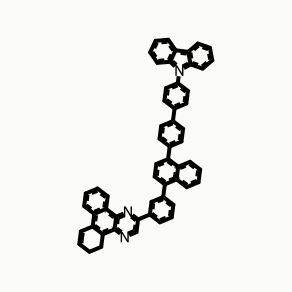 C1=Cc2c(c3ncc(-c4cccc(-c5ccc(-c6ccc(-c7ccc(-n8c9ccccc9c9ccccc98)cc7)cc6)c6ccccc56)c4)nc3c3ccccc23)CC1